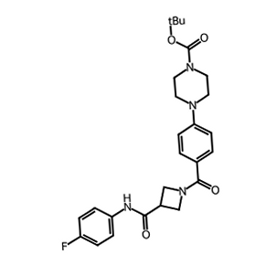 CC(C)(C)OC(=O)N1CCN(c2ccc(C(=O)N3CC(C(=O)Nc4ccc(F)cc4)C3)cc2)CC1